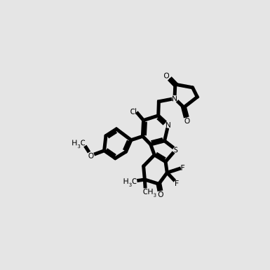 COc1ccc(-c2c(Cl)c(CN3C(=O)CCC3=O)nc3sc4c(c23)CC(C)(C)C(=O)C4(F)F)cc1